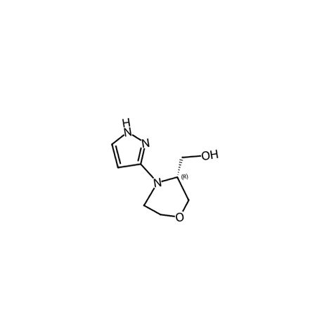 OC[C@@H]1COCCN1c1cc[nH]n1